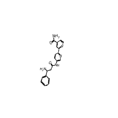 NC(=O)c1ccnc(-c2ccc(NC(=O)CC(N)c3ccccc3)cn2)c1